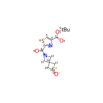 CC(C)(C)OC(=O)c1csc(C(=O)N2CC3(C2)C[S+]([O-])C3)n1